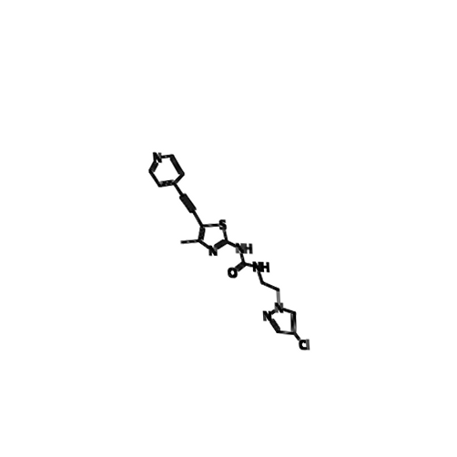 Cc1nc(NC(=O)NCCn2cc(Cl)cn2)sc1C#Cc1ccncc1